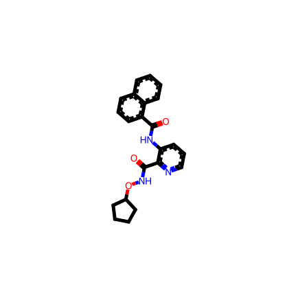 O=C(NOC1CCCC1)c1ncccc1NC(=O)c1cccc2ccccc12